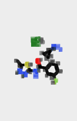 Cc1nnc(NC(=O)c2cc(F)ccc2[C@@H]2C[C@H]2N)s1.Cl.Cl